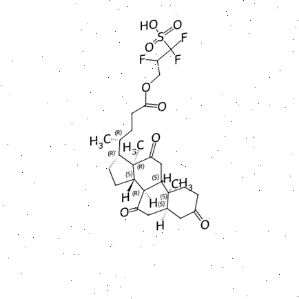 C[C@H](CCC(=O)OCC(F)C(F)(F)S(=O)(=O)O)[C@H]1CC[C@H]2[C@@H]3C(=O)C[C@@H]4CC(=O)CC[C@]4(C)[C@H]3CC(=O)[C@]12C